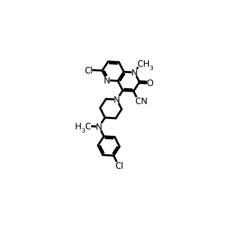 CN(c1ccc(Cl)cc1)C1CCN(c2c(C#N)c(=O)n(C)c3ccc(Cl)nc23)CC1